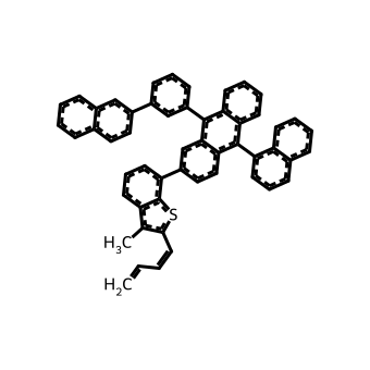 C=C/C=C\c1sc2c(-c3ccc4c(-c5cccc6ccccc56)c5ccccc5c(-c5cccc(-c6ccc7ccccc7c6)c5)c4c3)cccc2c1C